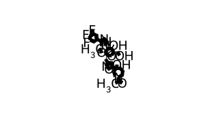 CO[C@@H]1[C@@H](n2cc(-c3cc(F)c(F)c(F)c3)nn2)[C@@H](O)[C@@H](CO)O[C@@H]1Cc1cc(C2(O)CCCN(C(C)=O)CC2)on1